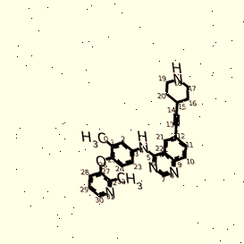 Cc1cc(Nc2ncnc3ccc(C#CC4CCNCC4)cc23)ccc1Oc1cccnc1C